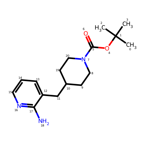 CC(C)(C)OC(=O)N1CCC(Cc2cccnc2N)CC1